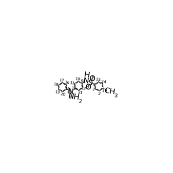 Cc1ccc(S(=O)(=O)Nc2ccc(N(N)c3ccccc3)cc2)cc1